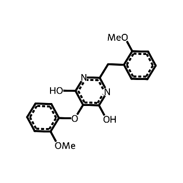 COc1ccccc1Cc1nc(O)c(Oc2ccccc2OC)c(O)n1